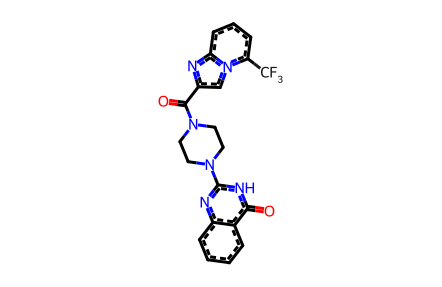 O=C(c1cn2c(C(F)(F)F)cccc2n1)N1CCN(c2nc3ccccc3c(=O)[nH]2)CC1